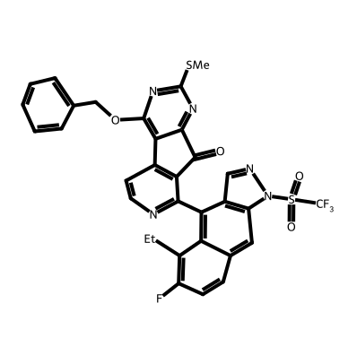 CCc1c(F)ccc2cc3c(cnn3S(=O)(=O)C(F)(F)F)c(-c3nccc4c3C(=O)c3nc(SC)nc(OCc5ccccc5)c3-4)c12